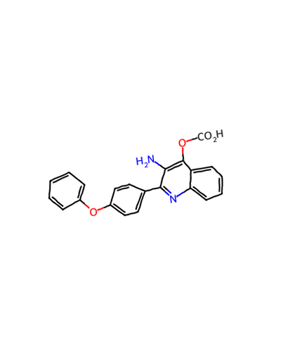 Nc1c(-c2ccc(Oc3ccccc3)cc2)nc2ccccc2c1OC(=O)O